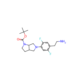 CC(C)(C)OC(=O)N1CCC2CN(c3cc(F)c(CCN)cc3F)CC21